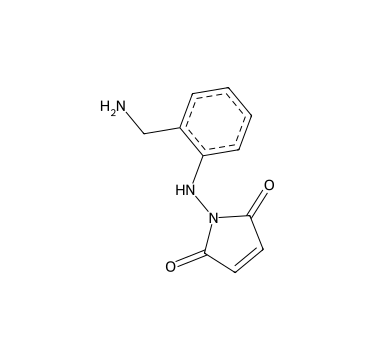 NCc1ccccc1NN1C(=O)C=CC1=O